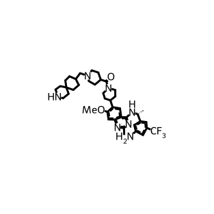 COc1cc2nc(C)nc(N[C@H](C)c3cc(N)cc(C(F)(F)F)c3)c2cc1C1CCN(C(=O)C2CCN(CC3CCC4(CCNCC4)CC3)CC2)CC1